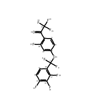 O=C(c1ccc(OC(F)(F)c2ccc(F)c(F)c2F)cc1F)C(F)(F)F